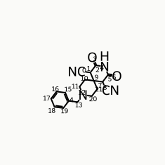 N#CC1C(=O)NC(=O)C(C#N)C12CCN(Cc1ccccc1)CC2